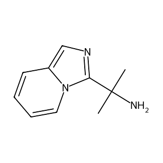 CC(C)(N)c1ncc2ccccn12